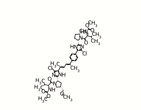 COC[C@H]1C[C@@H](c2nc(Cl)c(/C(C)=C/C=C(\C)c3ccc(-c4[nH]c([C@@H]5CC[C@H](C)N5C(=O)[C@@H](NC(=O)OC)C(C)C)nc4Cl)cc3)[nH]2)N(C(=O)[C@@H](NC(=O)OC)C(C)C)C1